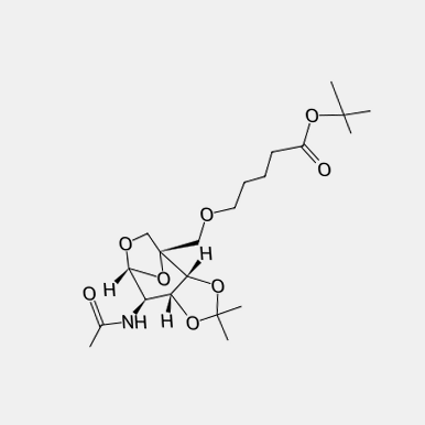 CC(=O)N[C@H]1[C@@H]2OC[C@@](COCCCCC(=O)OC(C)(C)C)(O2)[C@@H]2OC(C)(C)O[C@H]12